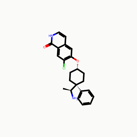 C[C@H](N)[C@]1(c2ccccc2)CC[C@@H](Oc2cc3cc[nH]c(=O)c3cc2Cl)CC1